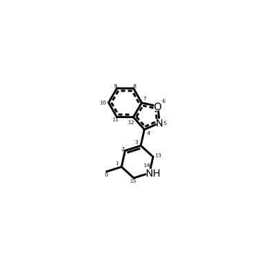 CC1C=C(c2noc3ccccc23)CNC1